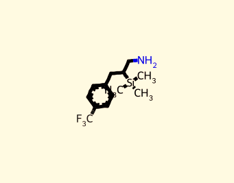 C[Si](C)(C)C(CN)Cc1ccc(C(F)(F)F)cc1